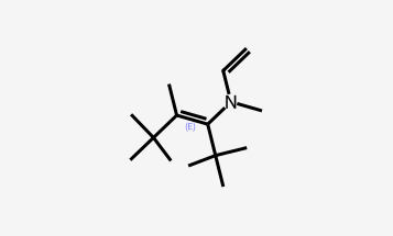 C=CN(C)/C(=C(\C)C(C)(C)C)C(C)(C)C